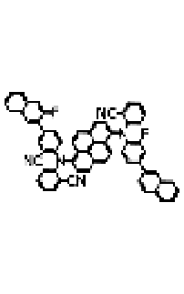 N#Cc1ccccc1N(c1ccc(-c2ccc3ccccc3c2)cc1F)c1ccc2ccc3c(N(c4ccccc4C#N)c4ccc(-c5cc6ccccc6cc5F)cc4C#N)ccc4ccc1c2c43